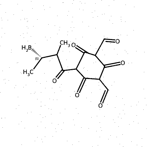 B[C@@H](C)C(C)C(=O)C1C(=O)C(C=O)C(=O)C(C=O)C1=O